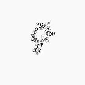 C=CC[C@H]1C(=O)C(C)(C)[C@@H](O)CC(=O)N[C@H](C(F)=Cc2ccccn2)C[C@@H]2O[C@]2(C)CCO[C@H](C)[C@H]1O